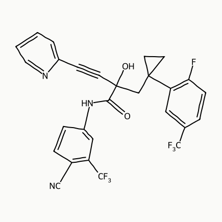 N#Cc1ccc(NC(=O)C(O)(C#Cc2ccccn2)CC2(c3cc(C(F)(F)F)ccc3F)CC2)cc1C(F)(F)F